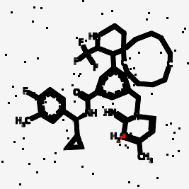 C=C(C)/C=C\N(Cc1cc(C(=O)N[C@H](c2ccc(F)c(C)c2)C2CC2)cc(C2C(C(F)(F)F)NCCC23CCCCCCCCCC3)c1)C(C)=N